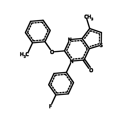 Cc1ccccc1Oc1nc2c(C)csc2c(=O)n1-c1ccc(F)cc1